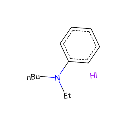 CCCCN(CC)c1ccccc1.I